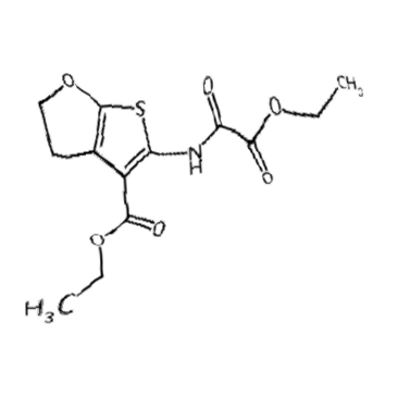 CCOC(=O)C(=O)Nc1sc2c(c1C(=O)OCC)CCO2